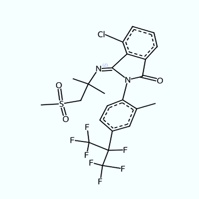 Cc1cc(C(F)(C(F)(F)F)C(F)(F)F)ccc1N1C(=O)c2cccc(Cl)c2/C1=N/C(C)(C)CS(C)(=O)=O